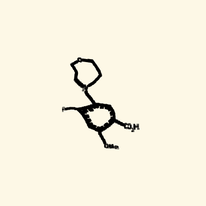 COc1cc(F)c(N2CCOCC2)cc1C(=O)O